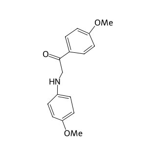 COc1ccc(NCC(=O)c2ccc(OC)cc2)cc1